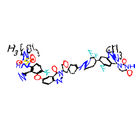 CCN(C)S(=O)(=O)Nc1ccc(F)c(Oc2ccc3ncn([C@H]4COC5(CCC(N6CC[C@H](c7cc8c(cc7F)c(N7CCC(=O)NC7=O)nn8C)C(F)(F)C6)CC5)C4)c(=O)c3c2)c1C#N